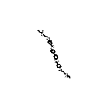 C=CC(=O)OCCC[Si](C)(C)c1ccc(C(=O)Oc2ccc(-c3ccc(OC(=O)c4ccc([Si](C)(C)CCCOC(=O)C=C)cc4)cc3)cc2)cc1